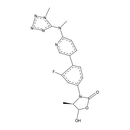 C[C@@H]1C(O)OC(=O)N1c1ccc(-c2ccc(N(C)c3nnnn3C)nc2)c(F)c1